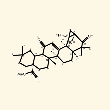 COC(=O)[C@]12CCC(C)(C)CC1C1C(=O)C=C3[C@@]4(C)[C@H]5C[C@@]5(C#N)C(=O)C(C)(C)[C@@H]4CC[C@@]3(C)[C@]1(C)CC2